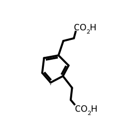 O=C(O)CCc1[c]ccc(CCC(=O)O)c1